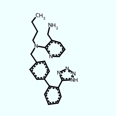 CCCCN(Cc1ccc(-c2ccccc2-c2nnn[nH]2)cc1)c1ncccc1CN